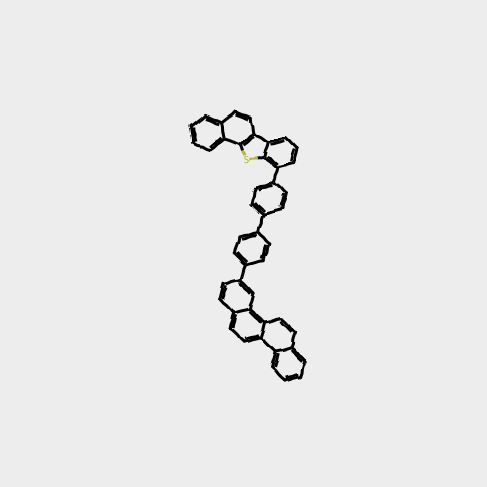 c1ccc2c(c1)ccc1c3cc(-c4ccc(-c5ccc(-c6cccc7c6sc6c8ccccc8ccc76)cc5)cc4)ccc3ccc21